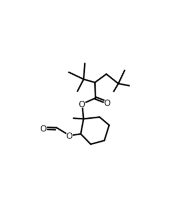 CC(C)(C)CC(C(=O)OC1(C)CCCCC1OC=O)C(C)(C)C